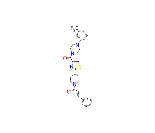 O=C(C=Cc1ccccc1)N1CCC(c2nc(C(=O)N3CCN(c4cccc(C(F)(F)F)c4)CC3)cs2)CC1